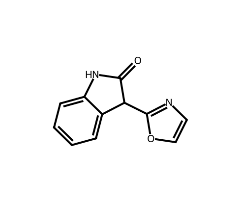 O=C1Nc2ccccc2C1c1ncco1